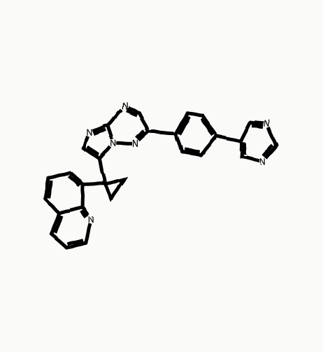 c1cnc2c(C3(c4cnc5ncc(-c6ccc(-c7cncnc7)cc6)nn45)CC3)cccc2c1